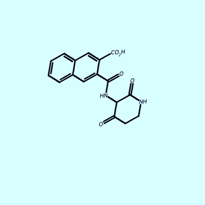 O=C(O)c1cc2ccccc2cc1C(=O)NC1C(=O)CCNC1=O